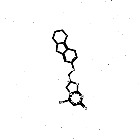 CCc1cc(=O)nc2n1C[C@@H](COC1=CCC3=C4CCCCC4CC3=C1)O2